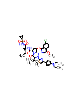 C=C[C@@H]1C[C@]1(NC(=O)[C@@H]1C[C@@H](Oc2ncc(OC)c3ccc(Cl)cc23)CN1C(=O)[C@@H](Nc1nc(-c2ccc(N(CC)CC)cc2)cs1)C(C)(C)C)C(=O)NS(=O)(=O)C1CC1